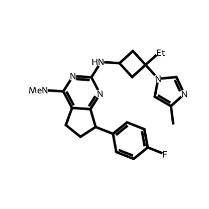 CCC1(n2cnc(C)c2)CC(Nc2nc(NC)c3c(n2)C(c2ccc(F)cc2)CC3)C1